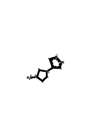 N[C@@H]1CCN(c2cn[nH]c2)C1